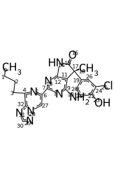 CCCCc1nc(-c2nc(N)c3c(n2)NC(=O)[C@]3(C)c2ccc(O)c(Cl)c2)cn2ncnc12